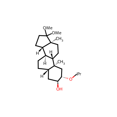 COC1(OC)CC[C@H]2[C@@H]3CC[C@H]4C[C@H](O)[C@@H](OC(C)C)C[C@]4(C)[C@H]3CC[C@@]21C